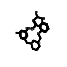 Cc1cc(O)cc(CN2CCC[C@H](COc3cccc4c3C(N)=N[S+]([O-])N4)C2)c1